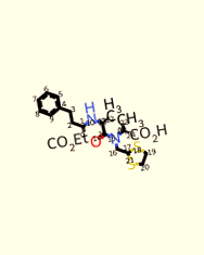 CCOC(=O)C(CCc1ccccc1)N[C@@H](C)C(=O)N(CC1SCCS1)[C@@H](C)C(=O)O